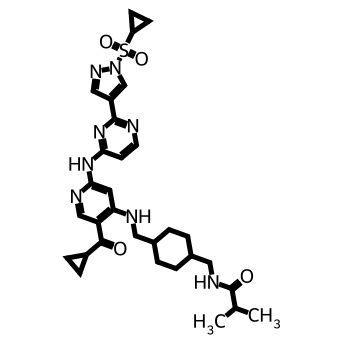 CC(C)C(=O)NCC1CCC(CNc2cc(Nc3ccnc(-c4cnn(S(=O)(=O)C5CC5)c4)n3)ncc2C(=O)C2CC2)CC1